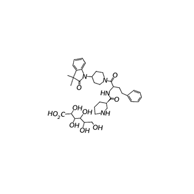 CC1(C)C(=O)N(C2CCN(C(=O)C(CCc3ccccc3)NC(=O)[C@@H]3CCCNC3)CC2)c2ccccc21.O=C(O)C(O)C(O)C(O)C(O)CO